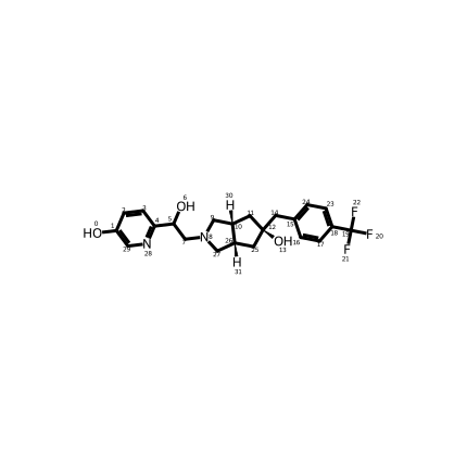 Oc1ccc(C(O)CN2C[C@@H]3C[C@](O)(Cc4ccc(C(F)(F)F)cc4)C[C@@H]3C2)nc1